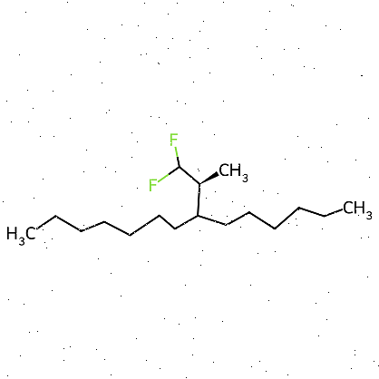 CCCCCCCC(CCCCCC)[C@H](C)C(F)F